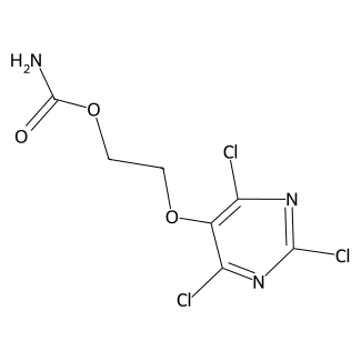 NC(=O)OCCOc1c(Cl)nc(Cl)nc1Cl